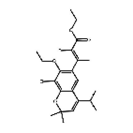 CCOC(=O)C(F)=C(C)c1cc2c(c(Cl)c1OCC)OC(C)(C)C=C2C(C)C